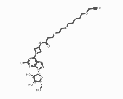 C#CCOCCOCCOCCOCCC(=O)NC1CN(c2nc(Cl)nc3c2cnn3[C@@H]2O[C@H](CO)[C@@H](O)[C@H]2O)C1